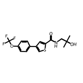 CC(C)(O)CNC(=O)c1cc(-c2ccc(OC(F)(F)F)cc2)cs1